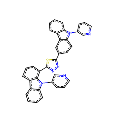 c1cncc(-n2c3ccccc3c3cc(-c4nnc(-c5cccc6c7ccccc7n(-c7cccnc7)c56)s4)ccc32)c1